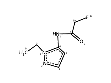 CCn1nccc1NC(=O)CF